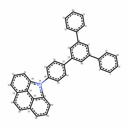 c1ccc(-c2cc(-c3ccccc3)cc(-c3ccc(-n4c5cccc6ccc7cccc4c7c65)cc3)c2)cc1